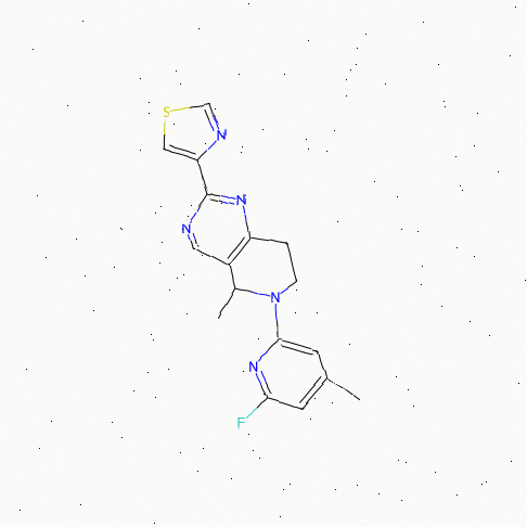 Cc1cc(F)nc(N2CCc3nc(-c4cscn4)ncc3C2C)c1